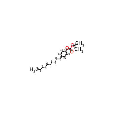 CCCCCCCCCCc1ccc(OC(=O)OC(C)C)cc1